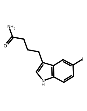 NC(=O)CCCc1c[nH]c2ccc(I)cc12